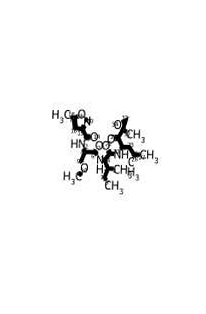 CCC(C)C(NC(=O)C(COC)NC(=O)c1cc(C)on1)C(=O)NC(CC(C)C)C(=O)C1(C)CO1